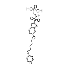 O=P(O)(O)CNS(=O)(=O)c1cc2ccc(OCCCCSc3ccncc3)cc2s1